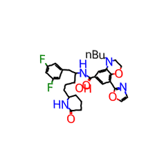 CCCCN1CCOc2c(-c3ncco3)cc(C(=O)NC(Cc3cc(F)cc(F)c3)C(O)CCC3CCCC(=O)N3)cc21